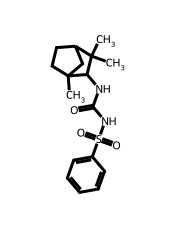 CC12CCC(C1)C(C)(C)C2NC(=O)NS(=O)(=O)c1ccccc1